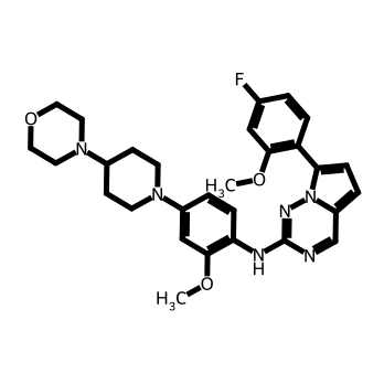 COc1cc(N2CCC(N3CCOCC3)CC2)ccc1Nc1ncc2ccc(-c3ccc(F)cc3OC)n2n1